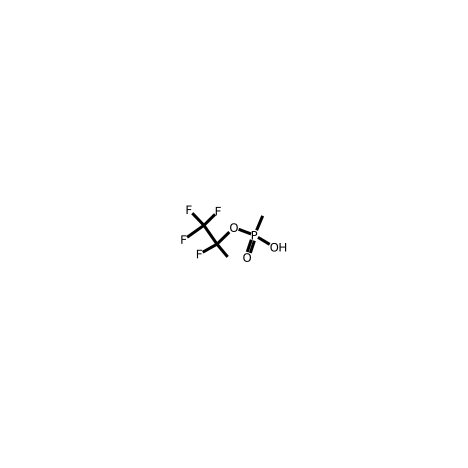 CC(F)(OP(C)(=O)O)C(F)(F)F